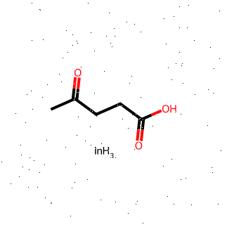 CC(=O)CCC(=O)O.[InH3]